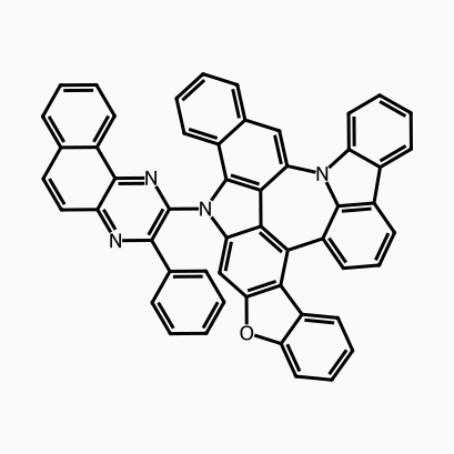 c1ccc(-c2nc3ccc4ccccc4c3nc2-n2c3cc4oc5ccccc5c4c4c5cccc6c7ccccc7n(c7cc8ccccc8c2c7c43)c65)cc1